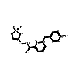 O=C(NNC1CCS(=O)(=O)C1)c1cccc(Cc2ccc(F)cc2)n1